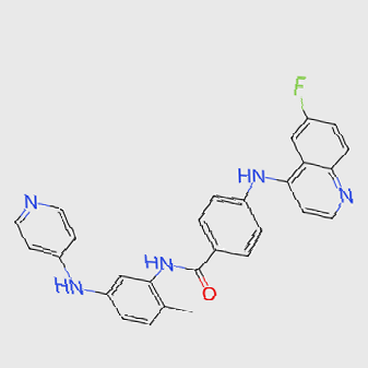 Cc1ccc(Nc2ccncc2)cc1NC(=O)c1ccc(Nc2ccnc3ccc(F)cc23)cc1